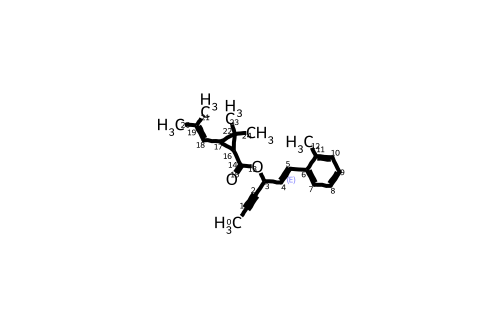 CC#CC(/C=C/c1ccccc1C)OC(=O)C1C(C=C(C)C)C1(C)C